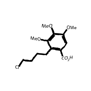 COc1cc(C(=O)O)c(CCCCCl)c(OC)c1OC